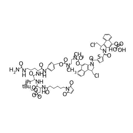 CC(C)C(NC(=O)C(CS(=O)(=O)OCC(C)(C)C)NC(=O)CCCCCN1C(=O)C=CC1=O)C(=O)NC(CCCNC(N)=O)C(=O)Nc1ccc(COC(=O)N(C)CCN(C)C(=O)Oc2cc3c(c4ccccc24)C(CCl)CN3C(=O)c2ccc(C(=O)N3CC(CCl)c4c3cc(OP(=O)(O)O)c3ccccc43)s2)cc1